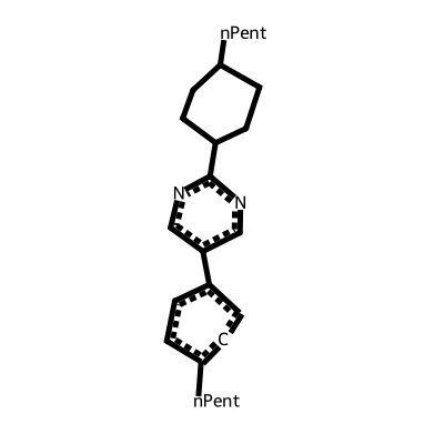 CCCCCc1ccc(-c2cnc(C3CCC(CCCCC)CC3)nc2)cc1